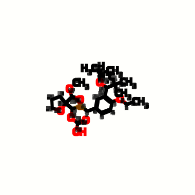 CCOc1ccc(CSC(OC(=O)O)C2(C(=O)OC)CCCO2)cc1C(O[SiH](C)C)C(C)(C)C